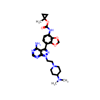 CN(C)C1CCN(CCn2nc(-c3ccc(NC(=O)OC4(C)CC4)c4c3OCO4)c3c(N)ncnc32)CC1